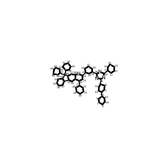 c1ccc(-c2ccc(-c3nc(-c4ccccc4)nc(-c4cccc(-c5cc(-c6ccccc6)c6cc7c(cc6n5)C(c5ccccc5)(c5ccccc5)c5ccccc5-7)c4)n3)cc2)cc1